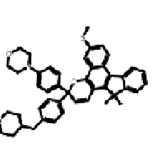 CSc1ccc2c3c(c4c(c2c1)OC(c1ccc(CC2CCOCC2)cc1)(c1ccc(N2CCOCC2)cc1)C=C4)C(C)(C)c1ccccc1-3